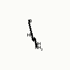 NCCNCCN1CCN(CCNCCCCCCCCCCC2CO2)CC1